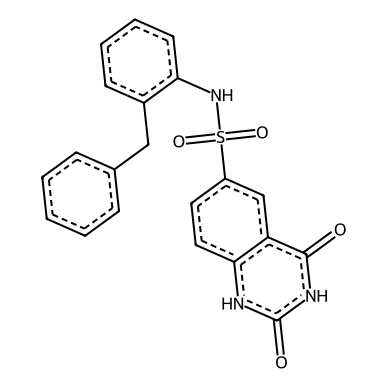 O=c1[nH]c(=O)c2cc(S(=O)(=O)Nc3ccccc3Cc3ccccc3)ccc2[nH]1